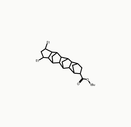 CCC1CC(CC)C2C3CC(C12)C1C2CC(C4C5CC(CC5C(=O)OC(C)(C)C)C24)C31